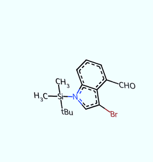 CC(C)(C)[Si](C)(C)n1cc(Br)c2c(C=O)cccc21